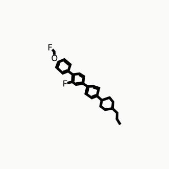 CCCC1CCC(c2ccc(-c3ccc(-c4ccc(OCF)cc4)c(F)c3)cc2)CC1